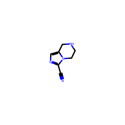 N#Cc1ncc2n1CCNC2